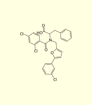 O=C(O)C(Cc1ccccc1)N(Cc1ccc(-c2cccc(Cl)c2)o1)C(=O)c1ccc(Cl)cc1Cl